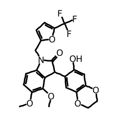 COc1ccc2c(c1OC)C(c1cc3c(cc1O)OCCO3)C(=O)N2Cc1ccc(C(F)(F)F)o1